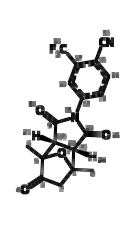 CC12CC(=O)C(C)(O1)[C@@H]1C(=O)N(c3ccc(C#N)c(C(F)(F)F)c3)C(=O)[C@@H]12